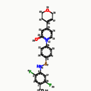 O=C(O)c1cc(F)c(NSc2ccc(-n3ccc(C4=CCOCC4)cc3=O)cc2)cc1F